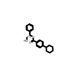 O=C(O[C@H](CO)c1ccccc1)c1ccc(C2CCCCC2)cc1